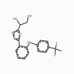 OCC(O)c1nnc(-c2ccccc2Nc2ccc(C(F)(F)F)cc2)o1